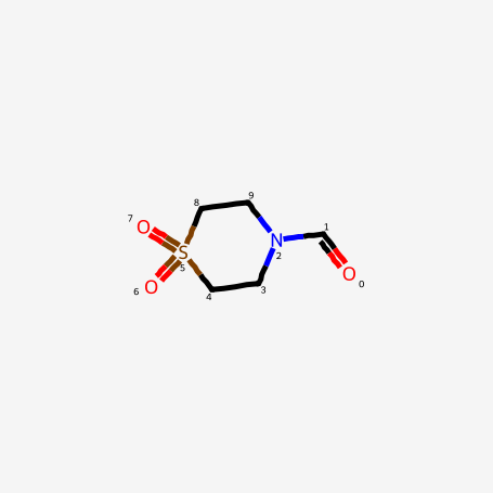 O=CN1CCS(=O)(=O)CC1